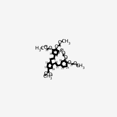 COCOc1ccc(/C=C/c2ccc(C(=O)OC)cc2/C=C/c2ccc(OCOC)c(OCOC)c2)cc1OCOC